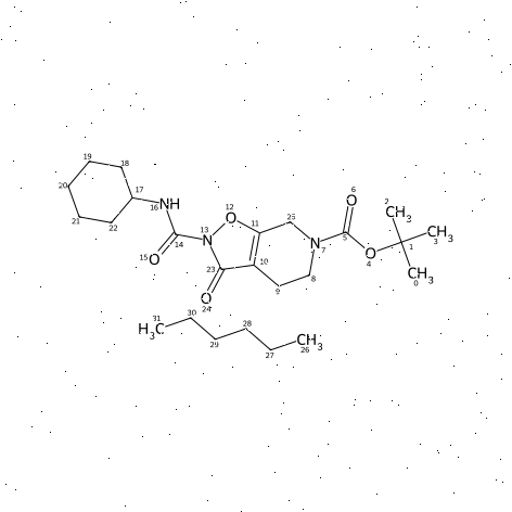 CC(C)(C)OC(=O)N1CCc2c(on(C(=O)NC3CCCCC3)c2=O)C1.CCCCCC